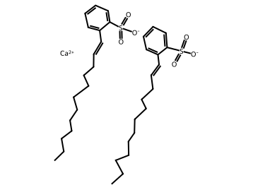 CCCCCCCCCCC=Cc1ccccc1S(=O)(=O)[O-].CCCCCCCCCCC=Cc1ccccc1S(=O)(=O)[O-].[Ca+2]